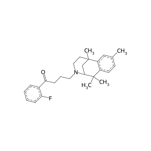 Cc1ccc2c(c1)C1(C)CCN(CCCC(=O)c3ccccc3F)C(C1)C2(C)C